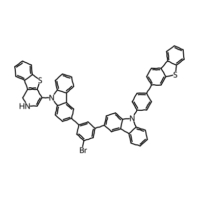 Brc1cc(-c2ccc3c(c2)c2ccccc2n3C2=CNCc3c2sc2ccccc32)cc(-c2ccc3c(c2)c2ccccc2n3-c2ccc(-c3ccc4c(c3)sc3ccccc34)cc2)c1